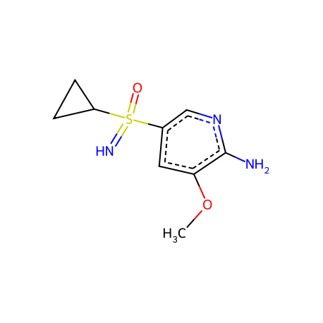 COc1cc(S(=N)(=O)C2CC2)cnc1N